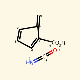 C=C1C=CC=C1C(=O)O.N=C=O